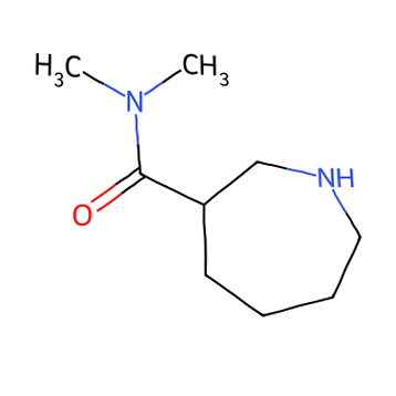 CN(C)C(=O)C1CCCCNC1